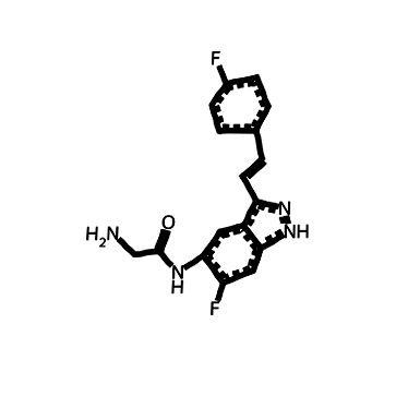 NCC(=O)Nc1cc2c(/C=C/c3ccc(F)cc3)n[nH]c2cc1F